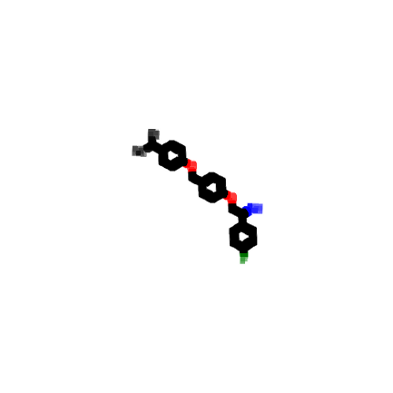 CCC(C#N)c1ccc(OCc2ccc(OCC(=N)c3ccc(F)cc3)cc2)cc1